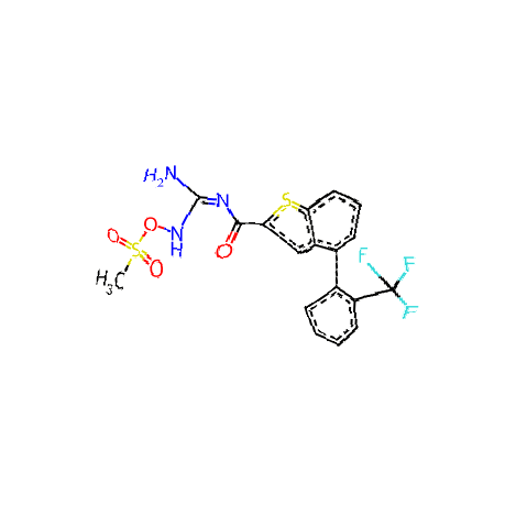 CS(=O)(=O)ONC(N)=NC(=O)c1cc2c(-c3ccccc3C(F)(F)F)cccc2s1